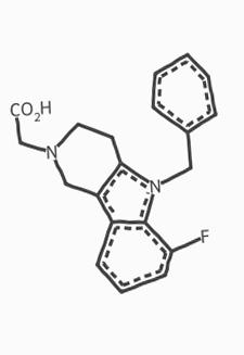 O=C(O)CN1CCc2c(c3cccc(F)c3n2Cc2ccccc2)C1